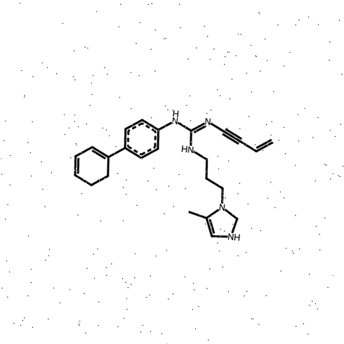 C=CC#C/N=C(\NCCCN1CNC=C1C)Nc1ccc(C2=CC=CCC2)cc1